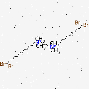 C[N+](C)(CCCCCCCCCCCC(Br)Br)CCCC[N+](C)(C)CCCCCCCCCCCC(Br)Br